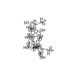 C=C(C)C(=O)NCCCNC(=O)C(CSOOO)NS(=O)(=O)c1ccc(OS(=O)(=O)c2cc(O)c3ccc4c(S(=O)(=O)NC(CS(=O)(=O)O)C(=O)NCCCNC(=O)C(=C)C)cc(S(=O)(=O)NC(CSOOO)C(=O)NCCCNC(=O)C(=C)C)c5ccc2c3c54)cc1